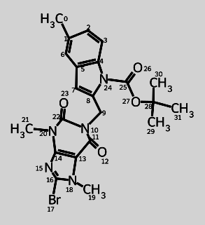 Cc1ccc2c(c1)cc(Cn1c(=O)c3c(nc(Br)n3C)n(C)c1=O)n2C(=O)OC(C)(C)C